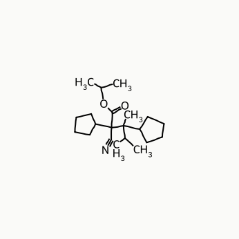 CC(C)OC(=O)C(C#N)(C1CCCC1)C(C)(C(C)C)C1CCCC1